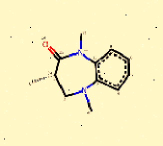 C[C@H]1CN(C)c2ccccc2N(C)C1=O